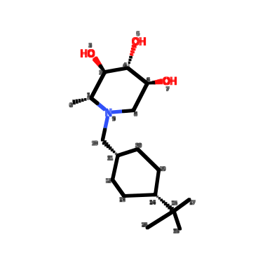 C[C@@H]1[C@@H](O)[C@H](O)[C@@H](O)CN1C[C@H]1CC[C@@H](C(C)(C)C)CC1